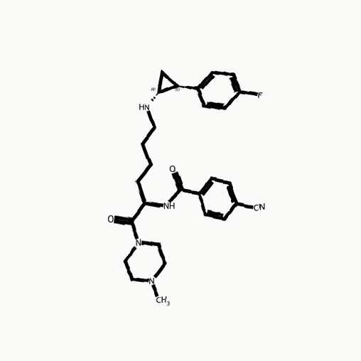 CN1CCN(C(=O)C(CCCCN[C@@H]2C[C@H]2c2ccc(F)cc2)NC(=O)c2ccc(C#N)cc2)CC1